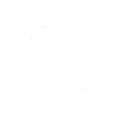 CCCCCC/C(O)=C/C=C/CCCCCCCC(=O)O